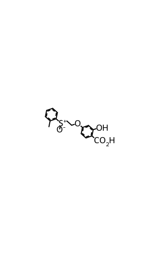 Cc1ccccc1[S+]([O-])CCOc1ccc(C(=O)O)c(O)c1